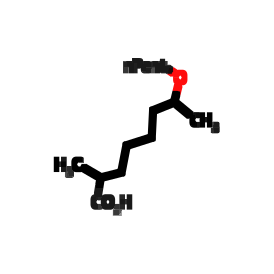 CCCCCOC(C)CCCCC(C)C(=O)O